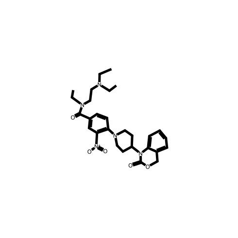 CCN(CC)CCN(CC)C(=O)c1ccc(N2CCC(N3C(=O)OCc4ccccc43)CC2)c([N+](=O)[O-])c1